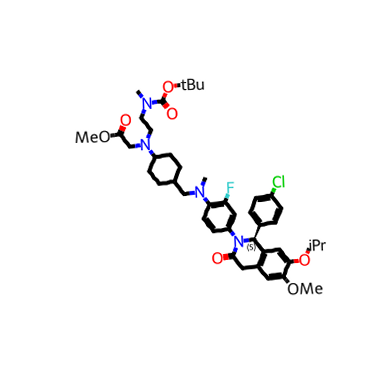 COC(=O)CN(CCN(C)C(=O)OC(C)(C)C)C1CCC(CN(C)c2ccc(N3C(=O)Cc4cc(OC)c(OC(C)C)cc4[C@@H]3c3ccc(Cl)cc3)cc2F)CC1